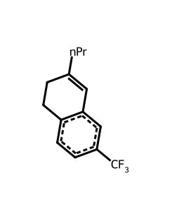 CCCC1=Cc2cc(C(F)(F)F)ccc2CC1